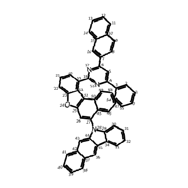 c1ccc(-c2cc(-c3ccc4ccccc4c3)nc(-c3cccc4oc5cc(-n6c7ccccc7c7cc8ccccc8cc76)c6ccccc6c5c34)n2)cc1